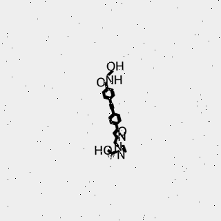 C[C@H](O)c1nccn1Cc1cc(-c2ccc(C#Cc3ccc(C(=O)NCCO)cc3)cc2)on1